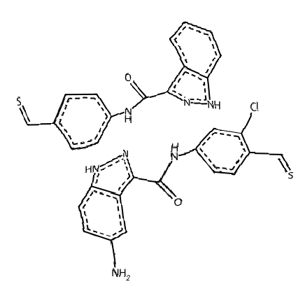 Nc1ccc2[nH]nc(C(=O)Nc3ccc(C=S)c(Cl)c3)c2c1.O=C(Nc1ccc(C=S)cc1)c1n[nH]c2ccccc12